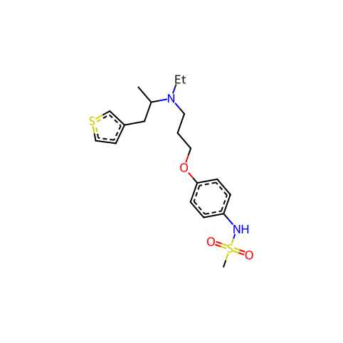 CCN(CCCOc1ccc(NS(C)(=O)=O)cc1)C(C)Cc1ccsc1